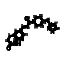 O=C1CCc2cc(C=CC(=O)N3CC=C(Cn4ccnn4)CC3)cnc2N1